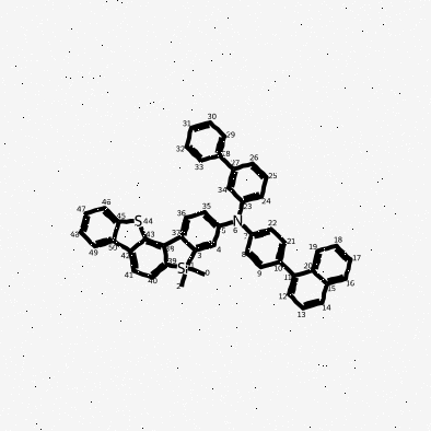 C[Si]1(C)c2cc(N(c3ccc(-c4cccc5ccccc45)cc3)c3cccc(-c4ccccc4)c3)ccc2-c2c1ccc1c2sc2ccccc21